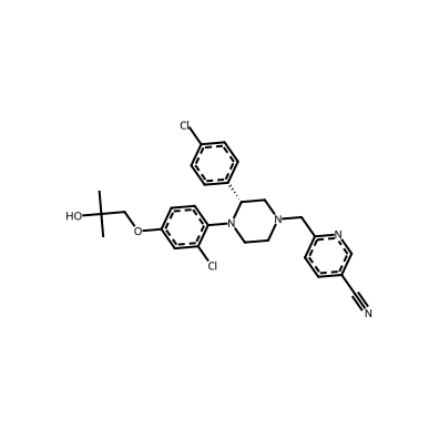 CC(C)(O)COc1ccc(N2CCN(Cc3ccc(C#N)cn3)C[C@H]2c2ccc(Cl)cc2)c(Cl)c1